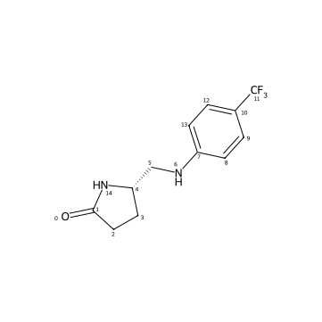 O=C1CC[C@@H](CNc2ccc(C(F)(F)F)cc2)N1